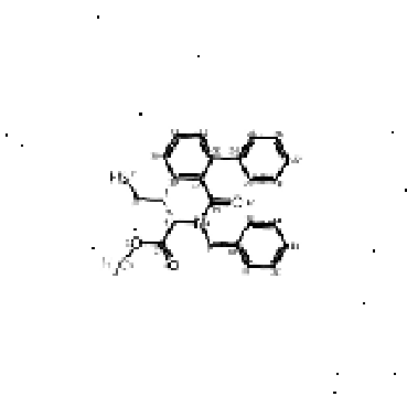 COC(=O)[C@H](CCS)N(Cc1ccccc1)C(=O)c1ccccc1-c1ccccc1